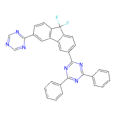 FC1(F)c2ccc(-c3ncncn3)cc2-c2cc(-c3nc(-c4ccccc4)nc(-c4ccccc4)n3)ccc21